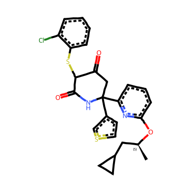 C[C@@H](CC1CC1)Oc1cccc(C2(c3ccsc3)CC(=O)C(Sc3ccccc3Cl)C(=O)N2)n1